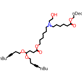 CCCCC#CCCOC(CCC(=O)OCCCCCCN(CCO)CCCCCC(=O)OCCCCCCCCCCC)OCCC#CCCCC